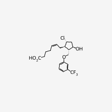 O=C(O)CCC/C=C\C[C@@H]1[C@@H](COc2cccc(C(F)(F)F)c2)[C@H](O)C[C@H]1Cl